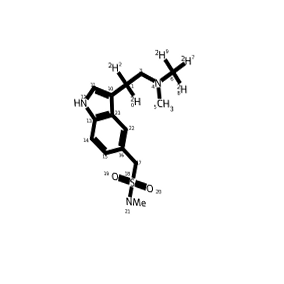 [2H]C([2H])(CN(C)C([2H])([2H])[2H])c1c[nH]c2ccc(CS(=O)(=O)NC)cc12